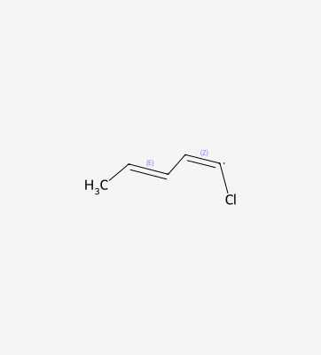 C/C=C/C=[C]\Cl